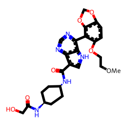 COCCOc1ccc2c(c1-c1ncnc3c(C(=O)N[C@H]4CC[C@H](NC(=O)CO)CC4)c[nH]c13)OCO2